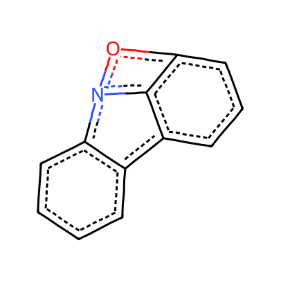 c1ccc2c(c1)c1cccc3on2c31